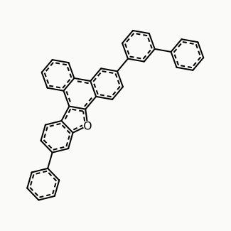 c1ccc(-c2cccc(-c3ccc4c(c3)c3ccccc3c3c5ccc(-c6ccccc6)cc5oc43)c2)cc1